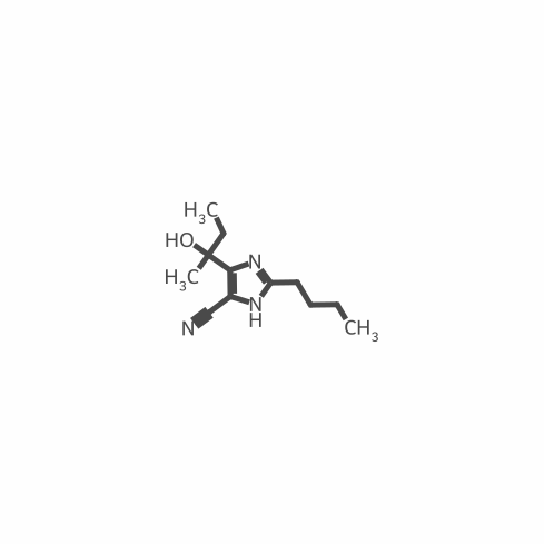 CCCCc1nc(C(C)(O)CC)c(C#N)[nH]1